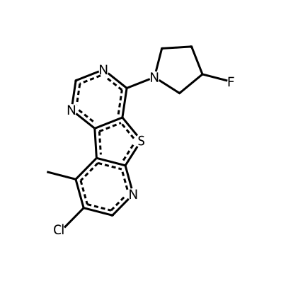 Cc1c(Cl)cnc2sc3c(N4CCC(F)C4)ncnc3c12